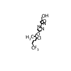 C=C(COc1cnc(-c2cc(CO)on2)nc1)/C(Cl)=C\C=C/CC(F)(F)F